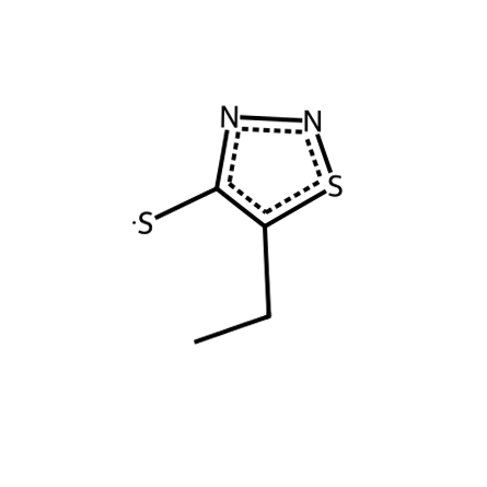 CCc1snnc1[S]